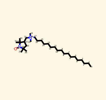 CCCCCCCCCCCCCCCCCC[N+](C)(C)CC1CC(C)(C)N([O])C1(C)C